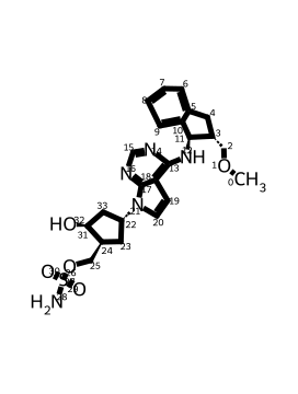 COC[C@H]1Cc2ccccc2[C@@H]1Nc1ncnc2c1ccn2[C@@H]1C[C@@H](COS(N)(=O)=O)[C@@H](O)C1